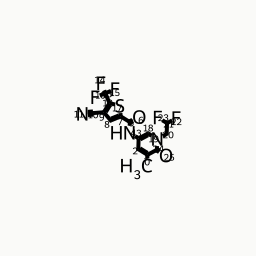 Cc1cc(NC(=O)c2cc(C#N)c(C(F)(F)F)s2)cn(CC(F)F)c1=O